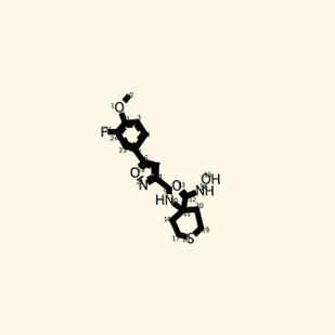 COc1ccc(-c2cc(CNC3(C(=O)NO)CCSCC3)no2)cc1F